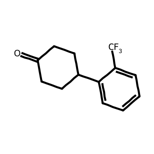 O=C1CCC(c2ccccc2C(F)(F)F)CC1